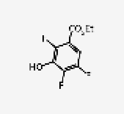 CCOC(=O)c1cc(F)c(F)c(O)c1F